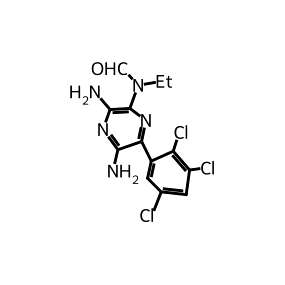 CCN(C=O)c1nc(-c2cc(Cl)cc(Cl)c2Cl)c(N)nc1N